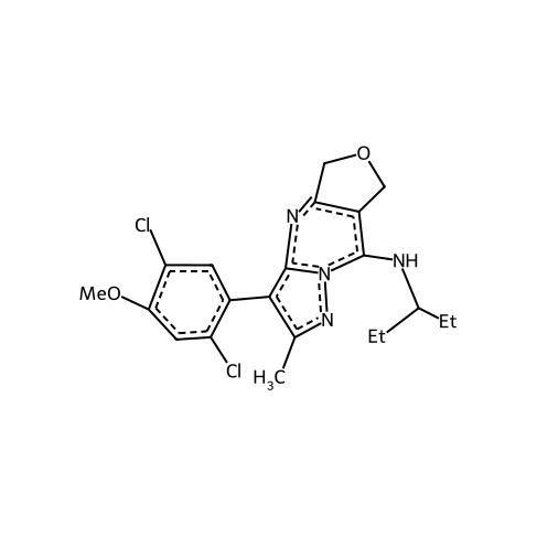 CCC(CC)Nc1c2c(nc3c(-c4cc(Cl)c(OC)cc4Cl)c(C)nn13)COC2